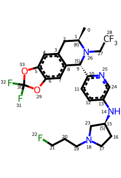 C[C@@H]1Cc2cc3c(cc2[C@@H](c2ccc(N[C@H]4CCN(CCCF)C4)cn2)N1CC(F)(F)F)OC(F)(F)O3